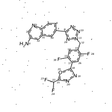 Nc1cnc2ccc(-c3nnn(Cc4cc(F)c(-c5nnc(C(F)F)o5)cc4F)n3)cc2c1